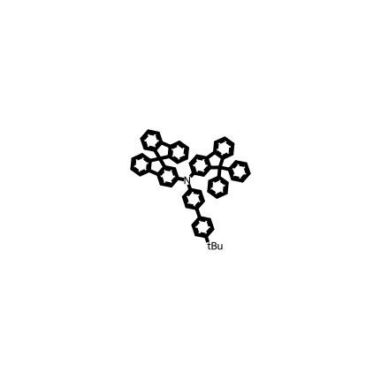 CC(C)(C)c1ccc(-c2ccc(N(c3ccc4c(c3)C(c3ccccc3)(c3ccccc3)c3ccccc3-4)c3ccc4c(c3)C3(c5ccccc5-c5ccccc53)c3ccccc3-4)cc2)cc1